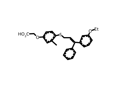 CCOc1cccc(C(=CCSc2ccc(OCC(=O)O)cc2C)c2ccccc2)c1